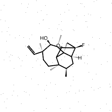 C=C[C@]1(C)CC[C@@]2(C)C3C(=O)[C@]4(F)C[C@]3([C@@H](C)[C@@H]1O)[C@@H]4C[C@H]2C